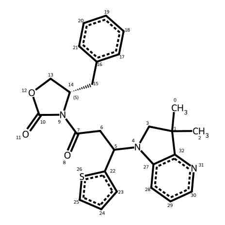 CC1(C)CN(C(CC(=O)N2C(=O)OC[C@@H]2Cc2ccccc2)c2cccs2)c2cccnc21